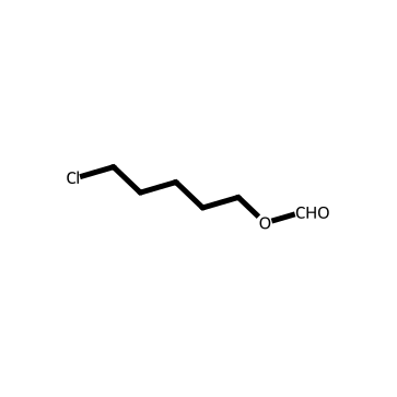 O=COCCCCCCl